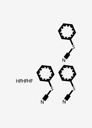 F.F.F.N#CSc1ccccc1.N#CSc1ccccc1.N#CSc1ccccc1